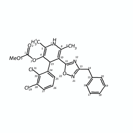 COC(=O)OC1=C(C)NC(C)=C(c2nc(Cc3ccccc3)no2)C1c1cccc(Cl)c1Cl